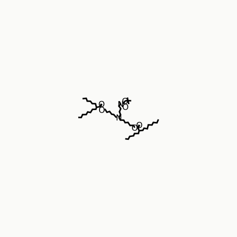 CCCCCCCCC(CCCCCC)C(=O)OCCCCCCN(CCCCCCOC(=O)C(CCCCCC)CCCCCCCC)CCCCN(C)C(=O)OC(C)(C)C